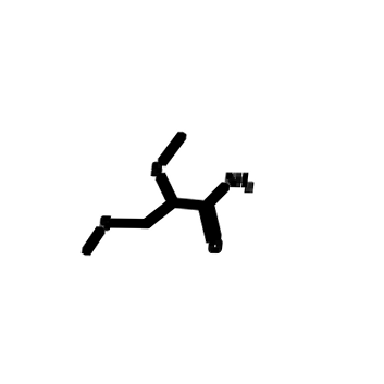 CSCC(SC)C(N)=O